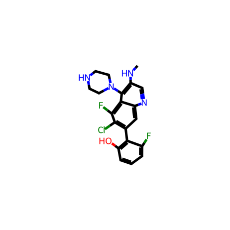 CNc1cnc2cc(-c3c(O)cccc3F)c(Cl)c(F)c2c1N1CCNCC1